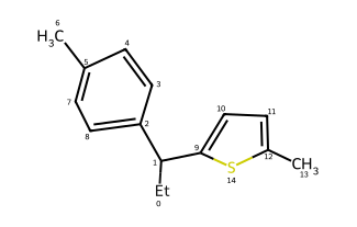 CCC(c1ccc(C)cc1)c1ccc(C)s1